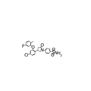 Cc1ccc(F)cc1Oc1cc(Cl)ccc1[C@H]1CC(=O)N(c2ccc(S(N)(=O)=O)cc2)C1